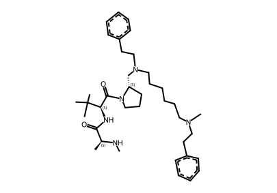 CN[C@@H](C)C(=O)N[C@H](C(=O)N1CCC[C@H]1CN(CCCCCCN(C)CCc1ccccc1)CCc1ccccc1)C(C)(C)C